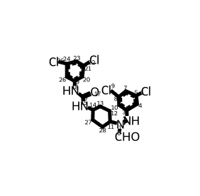 O=CN(Nc1cc(Cl)cc(Cl)c1)C1CCC(NC(=O)Nc2cc(Cl)cc(Cl)c2)CC1